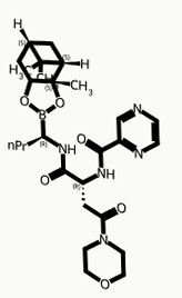 CCC[C@H](NC(=O)[C@@H](CC(=O)N1CCOCC1)NC(=O)c1cnccn1)B1OC2C[C@@H]3C[C@@H](C3(C)C)[C@]2(C)O1